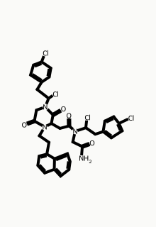 NC(=O)CN(C(=O)CC1C(=O)N(C(Cl)Cc2ccc(Cl)cc2)CC(=O)N1CCc1cccc2ccccc12)C(Cl)Cc1ccc(Cl)cc1